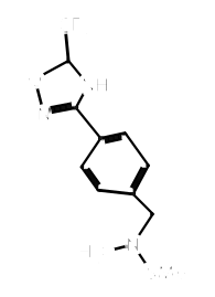 CSN(C)Cc1ccc(C2=NOC(C(F)(F)F)N2)cc1